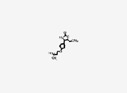 COCC1OC(=O)NC1c1ccc(OCC[C@H](C)O)cc1